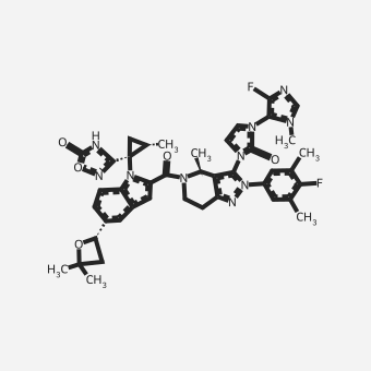 Cc1cc(-n2nc3c(c2-n2ccn(-c4c(F)ncn4C)c2=O)[C@H](C)N(C(=O)c2cc4cc([C@@H]5CC(C)(C)O5)ccc4n2[C@@]2(c4noc(=O)[nH]4)C[C@@H]2C)CC3)cc(C)c1F